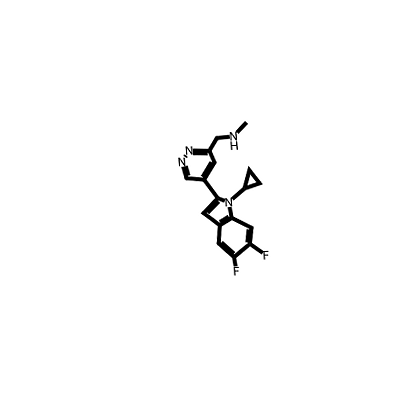 CNCc1cc(-c2cc3cc(F)c(F)cc3n2C2CC2)cnn1